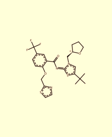 CC(C)(C)c1cn(C[C@H]2CCCO2)c(=NC(=O)c2cc(C(F)(F)F)ccc2OCc2nccs2)s1